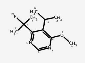 COc1ncnc(C(C)(C)F)c1C(C)C